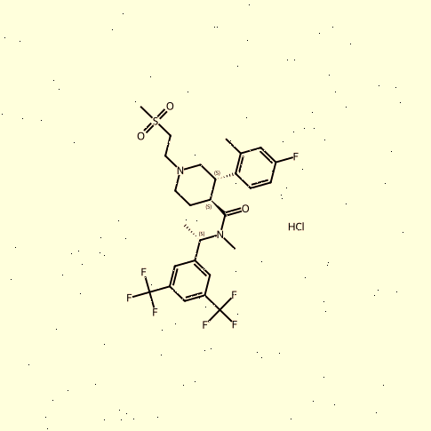 Cc1cc(F)ccc1[C@H]1CN(CCS(C)(=O)=O)CC[C@@H]1C(=O)N(C)[C@@H](C)c1cc(C(F)(F)F)cc(C(F)(F)F)c1.Cl